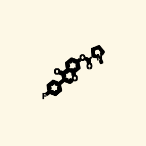 CN1CCC[C@H]1C(=O)Oc1ccc2c(=O)c(-c3ccc(F)cc3)coc2c1